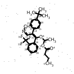 CCCC(=O)OC(C)O/C(=C(/C=N\C)c1ccc(C(C)(C)C)cc1)c1ccccc1C(F)(F)F